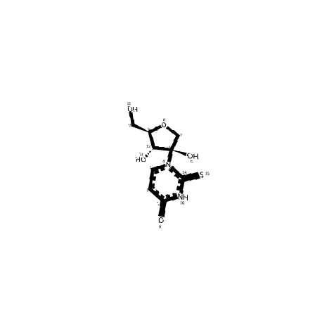 O=c1ccn([C@@]2(O)CO[C@H](CO)[C@H]2O)c(=S)[nH]1